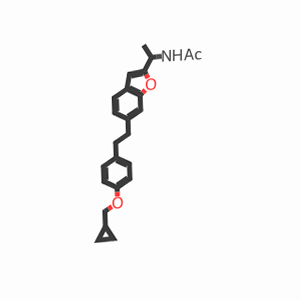 CC(=O)NC(C)c1cc2ccc(CCc3ccc(OCC4CC4)cc3)cc2o1